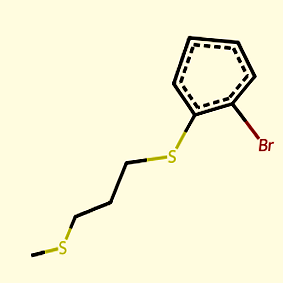 CSCCCSc1ccccc1Br